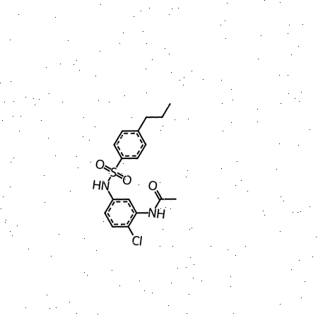 CCCc1ccc(S(=O)(=O)Nc2ccc(Cl)c(NC(C)=O)c2)cc1